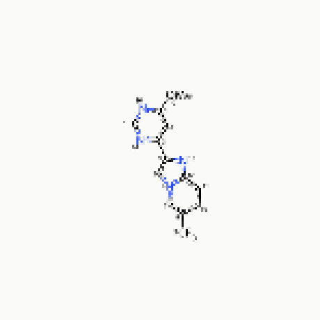 COc1cc(-c2cn3cc(C(F)(F)F)ccc3n2)ncn1